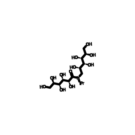 CC(C)N(C[C@H](O)[C@@H](O)[C@H](O)[C@H](O)CO)C(=O)[C@H](O)[C@@H](O)[C@H](O)[C@H](O)CO